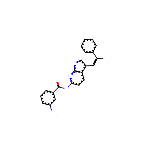 Nc1cccc(C(=O)Nc2ccc3c(C=C(C(=O)O)c4ccccc4)c[nH]c3n2)c1